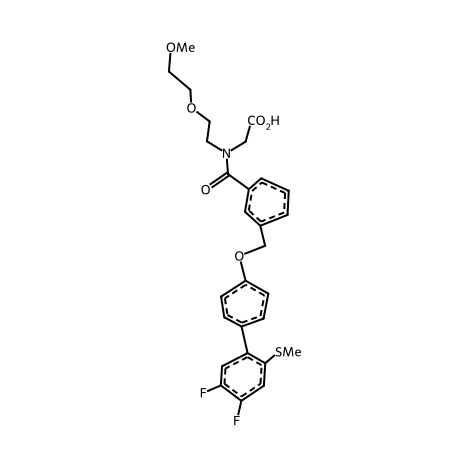 COCCOCCN(CC(=O)O)C(=O)c1cccc(COc2ccc(-c3cc(F)c(F)cc3SC)cc2)c1